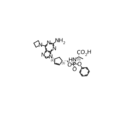 C[C@H](N[P@](=O)(OC[C@@H]1C=C[C@H](n2cnc3c(N4CCC4)nc(N)nc32)C1)Oc1ccccc1)C(=O)O